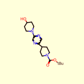 CC(C)(C)OC(=O)N1CCC(c2cnc(N3CCC(O)CC3)cn2)CC1